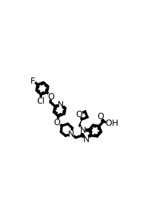 O=C(O)c1ccc2nc(CN3CCC(Oc4ccnc(COc5ccc(F)cc5Cl)c4)CC3)n(C[C@@H]3CCO3)c2c1